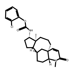 CN1C(=O)C=C[C@@]23CCC[C@]4(C)[C@@H](NC(=O)Oc5ccccc5Cl)CC[C@H]4[C@H](CC[C@@H]12)C3